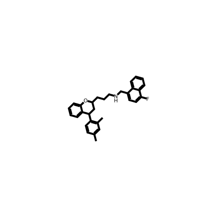 Cc1ccc(C2CC(CCCNCc3ccc(F)c4ccccc34)Oc3ccccc32)c(C)c1